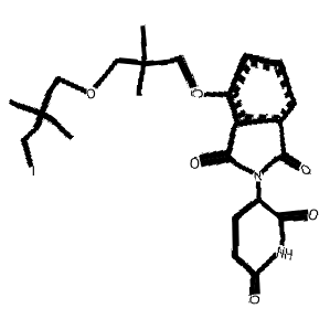 CC(C)(CI)COCC(C)(C)COc1cccc2c1C(=O)N(C1CCC(=O)NC1=O)C2=O